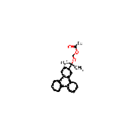 CCC(C)C(=O)OCOC(C)(C)c1ccc2c3ccccc3c3ccccc3c2c1